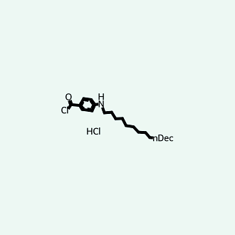 CCCCCCCCCCCCCCCCCCCNc1ccc(C(=O)Cl)cc1.Cl